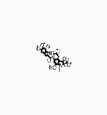 COC(=O)[C@]1(C)Nc2c(O)cc3c(c2C1=O)C[C@H](Cl)CN3C(=O)c1cc2cc(OC)c(OC)c(OC)c2[nH]1